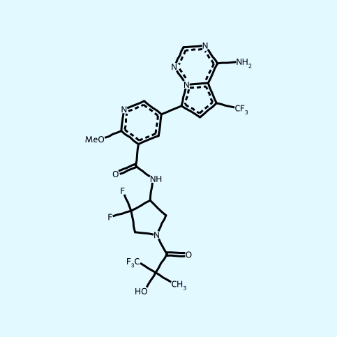 COc1ncc(-c2cc(C(F)(F)F)c3c(N)ncnn23)cc1C(=O)NC1CN(C(=O)C(C)(O)C(F)(F)F)CC1(F)F